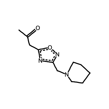 CC(=O)Cc1nc(CN2CCCCC2)no1